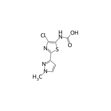 Cn1ccc(-c2nc(Cl)c(NC(=O)O)s2)n1